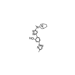 Cc1cnn(-c2ccc(-c3nnc(N(C)C4CC5CCC(C4)N5C)s3)c(O)c2)n1